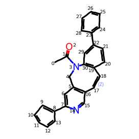 CC(=O)N1Cc2cc(-c3ccccc3)ncc2/C=C\c2ccc(-c3ccccc3)cc21